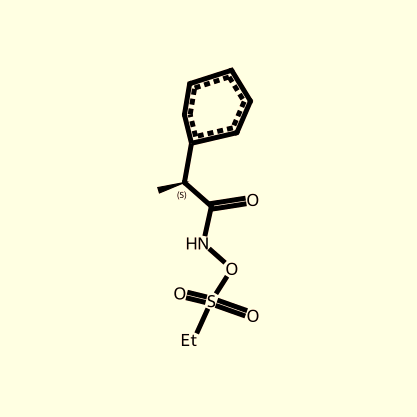 CCS(=O)(=O)ONC(=O)[C@@H](C)c1ccccc1